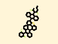 C=C/C=C(F)\C(=C(/C)F)c1c2ccccc2c(-c2cccc3c2sc2cccc(-c4c5ccccc5c(-c5c(F)cccc5F)c5ccccc45)c23)c2ccccc12